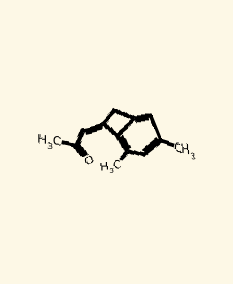 CC(=O)/C=C1/Cc2cc(C)cc(C)c21